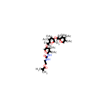 C=C(C)C(=O)OCCNC(=O)NC1OCC(OC(CC)(CC)C2OCC(OC(C)(CC)C3OCC(OC(C)=O)C(OC(C)=O)C3OC(C)=O)C(OC(C)=O)C2OC(C)=O)C(OC(C)=O)C1OC(C)=O